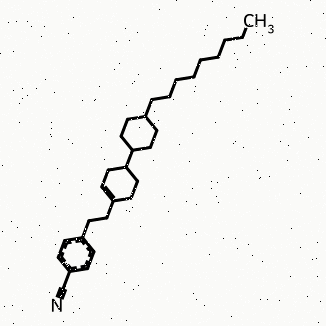 CCCCCCCCCC1CCC(C2CC=C(CCc3ccc(C#N)cc3)CC2)CC1